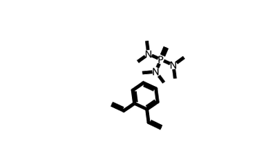 C=Cc1ccccc1C=C.C=P(N(C)C)(N(C)C)N(C)C